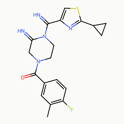 Cc1cc(C(=O)N2CCN(C(=N)c3csc(C4CC4)n3)C(=N)C2)ccc1F